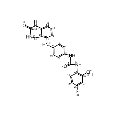 O=C(Nc1ccc(Nc2ccnc3c2CNC(=O)N3)cc1)Nc1ccc(F)cc1C(F)(F)F